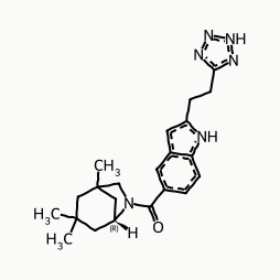 CC1(C)C[C@@H]2CC(C)(CN2C(=O)c2ccc3[nH]c(CCc4nn[nH]n4)cc3c2)C1